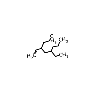 C=CC(CCC)CC(CC)CCC